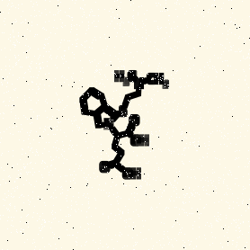 CN(C)CCSc1c2ccccc2cn1C(CCC(=O)O)C(=O)O